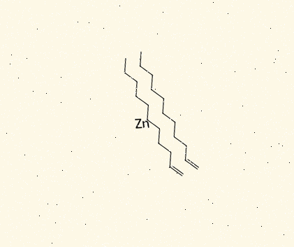 C=CCCCCCCCCC.C=CCCCCCCCCC.[Zn]